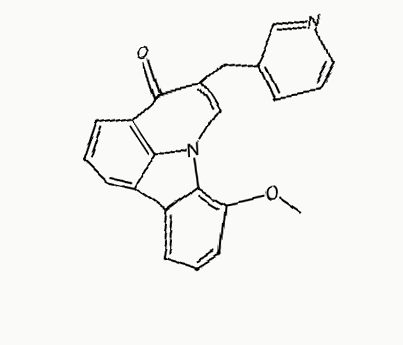 COc1cccc2c3cccc4c(=O)c(Cc5cccnc5)cn(c12)c43